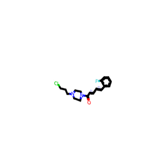 O=C(/C=C/C=C/c1ccccc1F)N1CCN(CCCCl)CC1